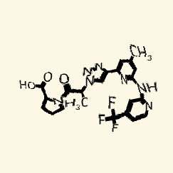 Cc1cc(Nc2cc(C(F)(F)F)ccn2)nc(-c2cn([C@@H](C)C(=O)N3CCCC3C(=O)O)nn2)c1